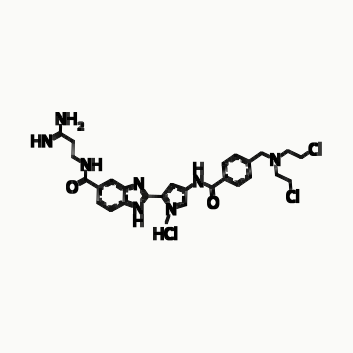 Cl.Cn1cc(NC(=O)c2ccc(CN(CCCl)CCCl)cc2)cc1-c1nc2cc(C(=O)NCCC(=N)N)ccc2[nH]1